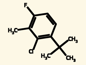 Cc1c(F)ccc(C(C)(C)C)c1Cl